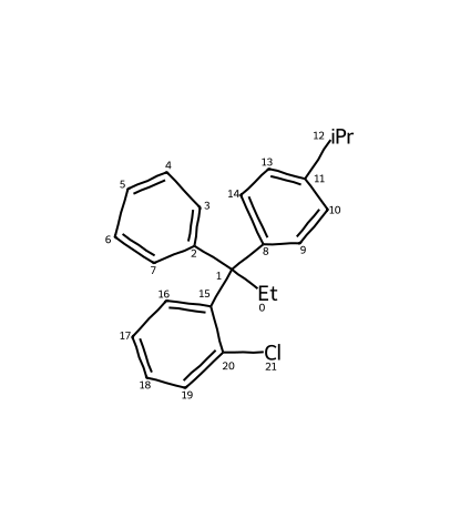 CCC(c1ccccc1)(c1ccc(C(C)C)cc1)c1ccccc1Cl